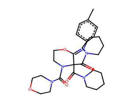 Cc1ccc(N=C2OCCN(C(=O)N3CCOCC3)C2(C(=O)N2CCCCC2)C(=O)N2CCCCC2)cc1